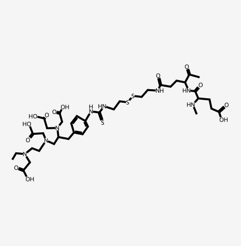 CCN(CCN(CC(=O)O)CC(Cc1ccc(NC(=S)NCCSSCCNC(=O)CCC(NC(=O)C(CCC(=O)O)NC)C(C)=O)cc1)N(CC(=O)O)CC(=O)O)CC(=O)O